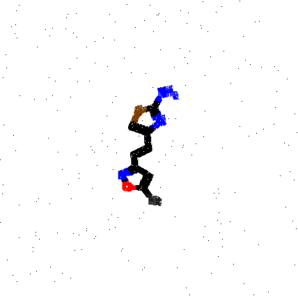 CCc1cc(C=Cc2csc(N)n2)no1